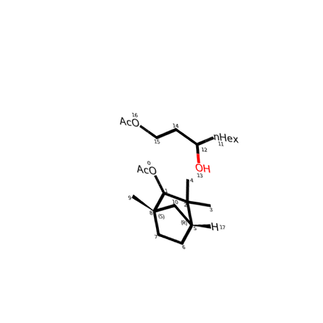 CC(=O)OC1C(C)(C)[C@@H]2CC[C@@]1(C)C2.CCCCCCC(O)CCOC(C)=O